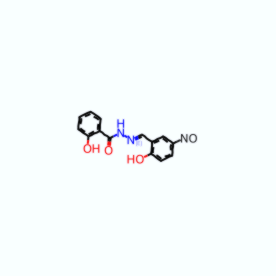 O=Nc1ccc(O)c(/C=N/NC(=O)c2ccccc2O)c1